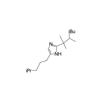 CCC(C)C(C)C(C)(C)c1ncc(CCCC(C)C)[nH]1